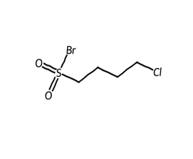 O=S(=O)(Br)CCCCCl